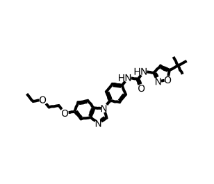 CCOCCOc1ccc2c(c1)ncn2-c1ccc(NC(=O)Nc2cc(C(C)(C)C)on2)cc1